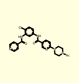 CC(=O)N1CCN(c2ccc(C(=O)Nc3ccc(Cl)c(NC(=O)c4ccncc4)c3)cn2)CC1